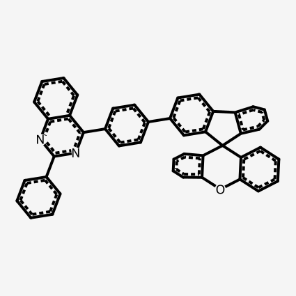 c1ccc(-c2nc(-c3ccc(-c4ccc5c(c4)C4(c6ccccc6Oc6ccccc64)c4ccccc4-5)cc3)c3ccccc3n2)cc1